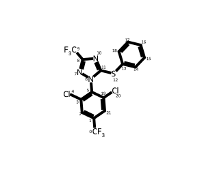 FC(F)(F)c1cc(Cl)c(-n2nc(C(F)(F)F)nc2Sc2ccccc2)c(Cl)c1